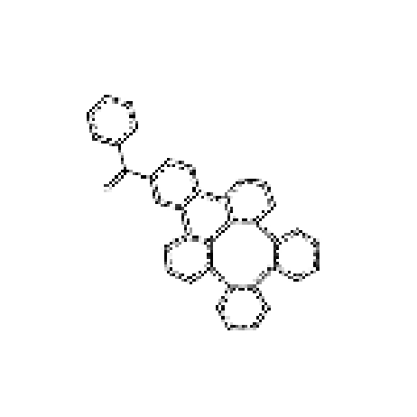 O=C(c1ccccc1)c1ccc2c(c1)c1cccc3c4ccccc4c4ccccc4c4cccc2c4c31